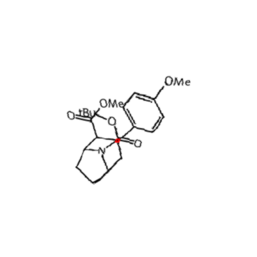 COC(=O)C1C(c2ccc(OC)cc2)CC2CCC1N2C(=O)OC(C)(C)C